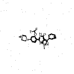 CN1CCN(c2ccc(-c3nc4c(c(-c5ccccc5)nn4C)c(=O)[nH]3)c(OC(F)F)c2)CC1